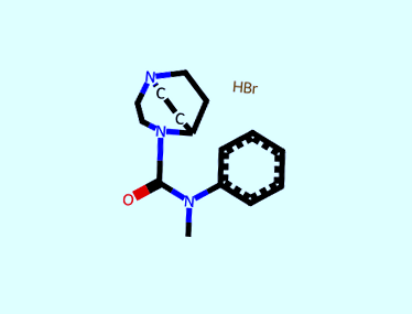 Br.CN(C(=O)N1CCN2CCC1CC2)c1ccccc1